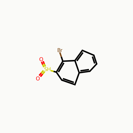 O=[SH](=O)c1ccc2ccccc2c1Br